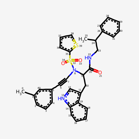 Cc1cccc(C#CN(C(Cc2c[nH]c3ccccc23)C(=O)NCC(C)c2ccccc2)S(=O)(=O)c2cccs2)c1